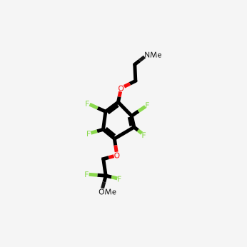 CNCCOc1c(F)c(F)c(OCC(F)(F)OC)c(F)c1F